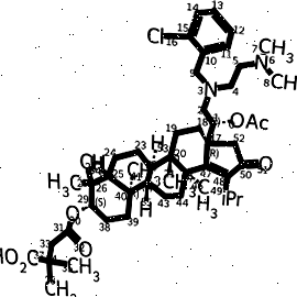 CC(=O)O[C@@H](CN(CCN(C)C)Cc1ccccc1Cl)[C@@]12CC[C@@]3(C)[C@@H]4CC[C@H]5C(C)(C)[C@@H](OC(=O)CC(C)(C)C(=O)O)CC[C@]5(C)[C@H]4CC[C@]3(C)C1=C(C(C)C)C(=O)C2